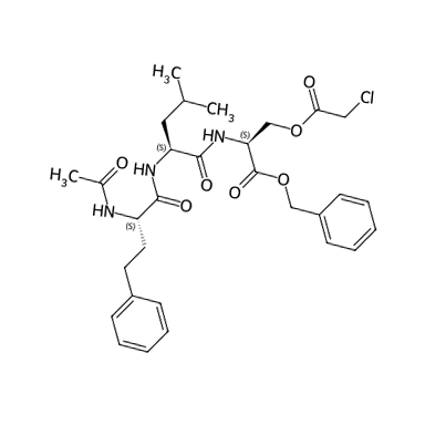 CC(=O)N[C@@H](CCc1ccccc1)C(=O)N[C@@H](CC(C)C)C(=O)N[C@@H](COC(=O)CCl)C(=O)OCc1ccccc1